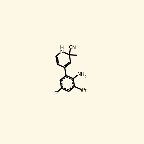 CC(C)c1cc(F)cc(C2=CC(C)(C#N)NC=C2)c1N